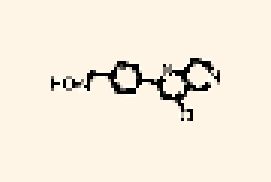 O/N=C/c1ccc(-c2cc(Cl)c3cnccc3n2)cc1